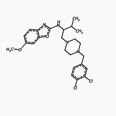 COc1ccc2nc(NC(CN3CCN(Cc4ccc(Cl)c(Cl)c4)CC3)C(C)C)oc2c1